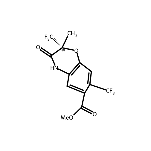 COC(=O)c1cc2c(cc1C(F)(F)F)O[C@@](C)(C(F)(F)F)C(=O)N2